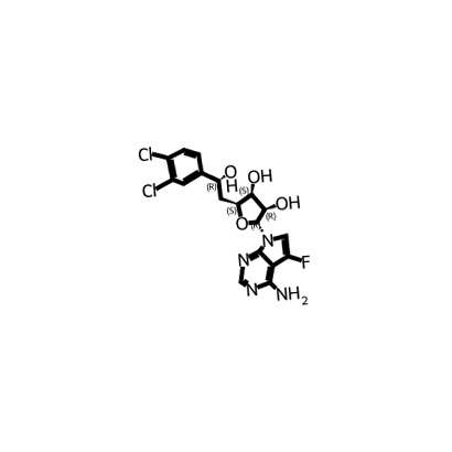 Nc1ncnc2c1c(F)cn2[C@@H]1O[C@@H](C[C@@H](O)c2ccc(Cl)c(Cl)c2)[C@@H](O)[C@H]1O